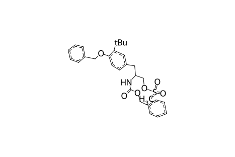 CC(C)(C)c1cc(CC(COS(C)(=O)=O)NC(=O)OCc2ccccc2)ccc1OCc1ccccc1